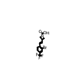 O=C(O)N1CC(/C=C/c2ccc(C(F)(F)F)cc2Br)C1